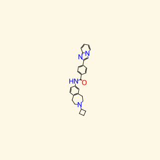 O=C(Nc1ccc2c(c1)CCN(C1CCC1)CC2)c1ccc(-c2cn3ccccc3n2)cc1